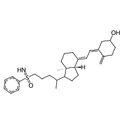 C=C1CCC(O)C/C1=C/C=C1\CCC[C@]2(C)C(C(C)CCCS(=N)(=O)c3ccccc3)CC[C@@H]12